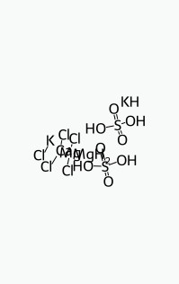 O=S(=O)(O)O.O=S(=O)(O)O.[Cl][Ca][Cl].[Cl][K].[Cl][Mg][Cl].[KH].[MgH2]